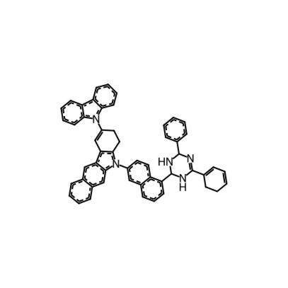 C1=CCCC(C2=NC(c3ccccc3)NC(c3cccc4cc(-n5c6c(c7cc8ccccc8cc75)C=C(n5c7ccccc7c7ccccc75)CC6)ccc34)N2)=C1